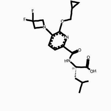 CC(C)C[C@H](NC(=O)c1ccc(N2CC(F)(F)C2)c(OCC2CC2)n1)C(=O)O